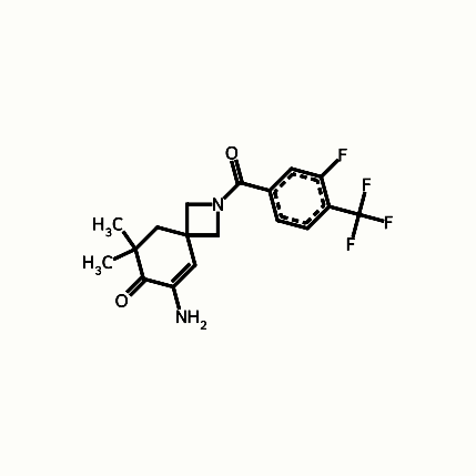 CC1(C)CC2(C=C(N)C1=O)CN(C(=O)c1ccc(C(F)(F)F)c(F)c1)C2